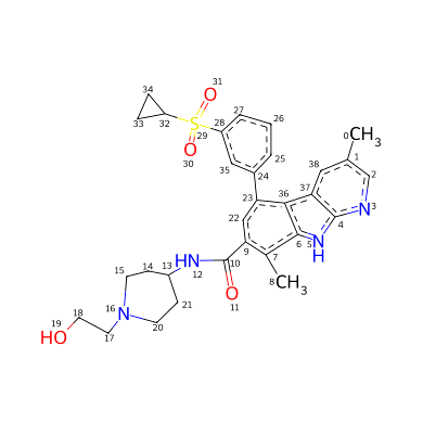 Cc1cnc2[nH]c3c(C)c(C(=O)NC4CCN(CCO)CC4)cc(-c4cccc(S(=O)(=O)C5CC5)c4)c3c2c1